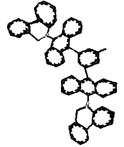 Cc1cc(-c2c3ccccc3c(N3Cc4ccccc4-c4ccccc43)c3ccccc23)cc(-c2c3ccccc3c(N3Cc4ccccc4-c4ccccc43)c3ccccc23)c1